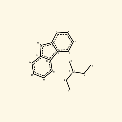 CCN(C)CC.c1ccc2c(c1)sc1ccccc12